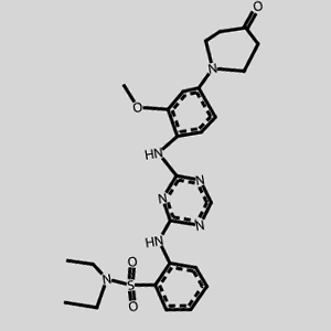 CCN(CC)S(=O)(=O)c1ccccc1Nc1ncnc(Nc2ccc(N3CCC(=O)CC3)cc2OC)n1